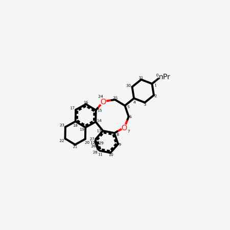 CCCC1CCC(C2COc3ccc4c(c3-c3c(ccc5c3CCCC5)OC2)CCCC4)CC1